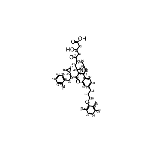 O=C(O)CC(O)CC(=O)N1CC2CC(c3ccc(CCCOc4c(F)ccc(F)c4F)cc3)=C(C(=O)N(Cc3ccccc3F)C3CC3)C(C1)N2